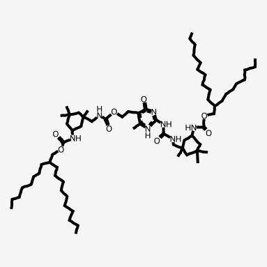 CCCCCCCCCCC(CCCCCCCC)COC(=O)NC1CC(C)(C)CC(C)(CNC(=O)Nc2nc(=O)c(CCOC(=O)NCC3(C)CC(NC(=O)OCC(CCCCCCCC)CCCCCCCCCC)CC(C)(C)C3)c(C)[nH]2)C1